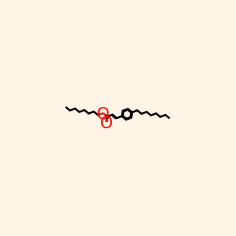 CCCCCCCCOC(=O)C=Cc1ccc(CCCCCCCC)cc1